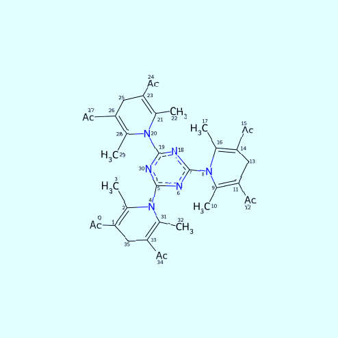 CC(=O)C1=C(C)N(c2nc(N3C(C)=C(C(C)=O)CC(C(C)=O)=C3C)nc(N3C(C)=C(C(C)=O)CC(C(C)=O)=C3C)n2)C(C)=C(C(C)=O)C1